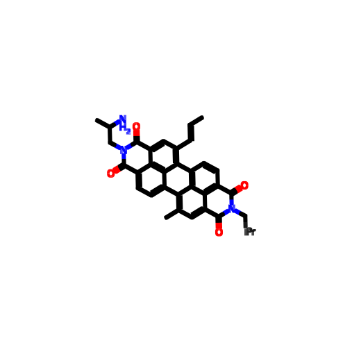 C/C=C/c1cc2c3c(ccc4c5c(C)cc6c7c(ccc(c1c34)c75)C(=O)N(CC(C)C)C6=O)C(=O)N(CC(C)N)C2=O